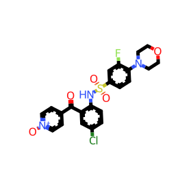 O=C(c1cc[n+]([O-])cc1)c1cc(Cl)ccc1NS(=O)(=O)c1ccc(N2CCOCC2)c(F)c1